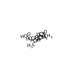 CC1C[C@H]2[C@@H]3CC[C@H]4N(C)C(=O)CC[C@]4(C)[C@H]3CC[C@]2(C)C1COCC(=O)O